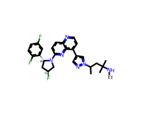 CCNC(C)(C)CC(C)n1cc(-c2ccnc3ccc(N4C[C@@H](F)C[C@@H]4c4cc(F)ccc4F)nc23)cn1